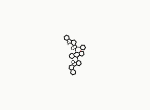 c1ccc(-c2c(-c3c4ccccc4c(-c4cccc5c4oc4ccc6ccccc6c45)c4ccccc34)oc3c2ccc2c4ccccc4sc23)cc1